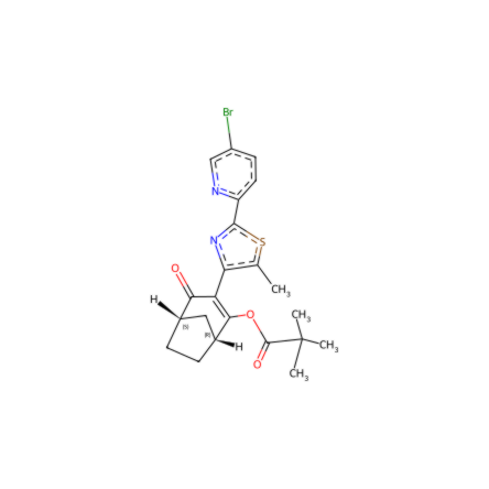 Cc1sc(-c2ccc(Br)cn2)nc1C1=C(OC(=O)C(C)(C)C)[C@@H]2CC[C@@H](C2)C1=O